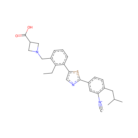 [C-]#[N+]c1cc(-c2ncc(-c3cccc(CN4CC(C(=O)O)C4)c3CC)s2)ccc1CC(C)C